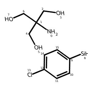 NC(CO)(CO)CO.[SiH3]c1ccc(Cl)cc1